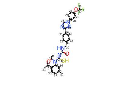 CC(=O)N(/C(S)=N/C(=O)NCc1ccc(-c2ncn(-c3ccc(OC(F)(F)F)cc3)n2)cc1)c1cc(C)ccc1C(C)C